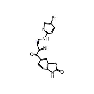 N=C(/C=C\Nc1ccc(Br)cn1)C(=O)c1ccc2[nH]c(=O)sc2c1